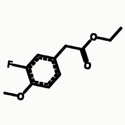 CCOC(=O)Cc1ccc(OC)c(F)c1